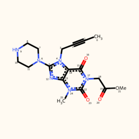 CC#CCn1c(N2CCNCC2)nc2c1c(=O)n(CC(=O)OC)c(=O)n2C